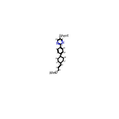 CCCCCc1cnc(-c2ccc(C3CCC(/C=C/COC)CC3)cc2)nc1